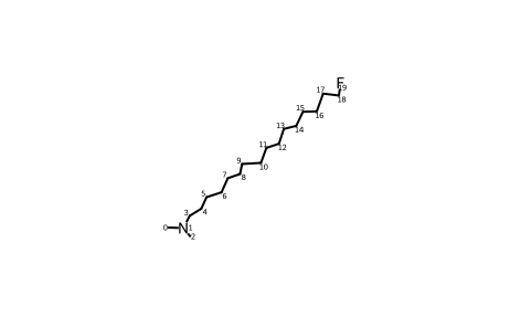 CN(C)CCCCCCCCCCCCCCCCF